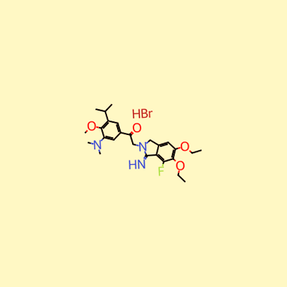 Br.CCOc1cc2c(c(F)c1OCC)C(=N)N(CC(=O)c1cc(C(C)C)c(OC)c(N(C)C)c1)C2